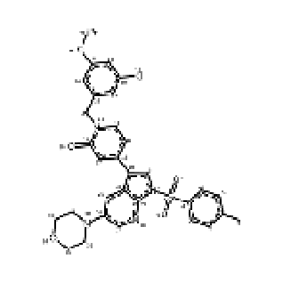 Cc1ccc(S(=O)(=O)n2cc(-c3ccn(Cc4cc(Cl)cc(OC(C)C)c4)c(=O)c3)c3cc(N4CCOCC4)cnc32)cc1